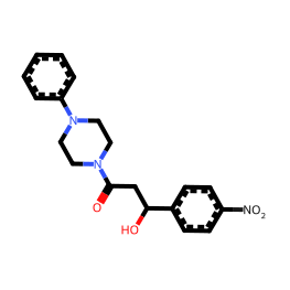 O=C(CC(O)c1ccc([N+](=O)[O-])cc1)N1CCN(c2ccccc2)CC1